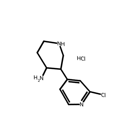 Cl.NC1CCNCC1c1ccnc(Cl)c1